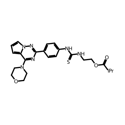 CC(C)C(=O)OCCNC(=S)Nc1ccc(-c2nc(N3CCOCC3)c3cccn3n2)cc1